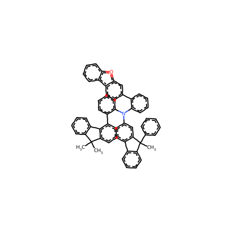 CC1(C)c2ccccc2-c2c(-c3ccccc3N(c3ccc4c(c3)C(C)(c3ccccc3)c3ccccc3-4)c3ccccc3-c3ccc4c(c3)oc3ccccc34)cccc21